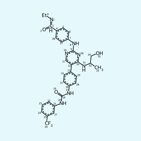 CCN=[SH](=O)c1ccc(Nc2ncc(-c3ccc(NC(=O)Nc4cccc(C(F)(F)F)c4)cc3)c(NC(C)CO)n2)cc1